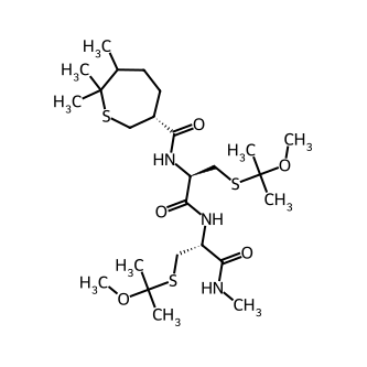 CNC(=O)[C@H](CSC(C)(C)OC)NC(=O)[C@H](CSC(C)(C)OC)NC(=O)[C@H]1CCC(C)C(C)(C)SC1